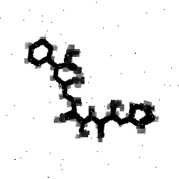 CC(C)[C@H](NC(=O)[C@@H](N)Cc1c[nH]cn1)C(=O)NC[C@H](O)CC(C1CCCCC1)[PH](=O)O